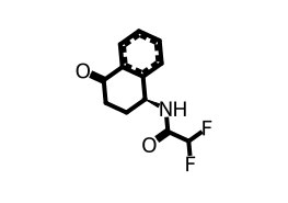 O=C1CC[C@H](NC(=O)C(F)F)c2ccccc21